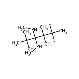 CPC(PC)(C(C)(C)C)C(C)(C)C(C)(F)F